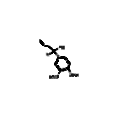 C=CCC(C#N)(c1ccc(OC)c(OC)c1)C(C)C